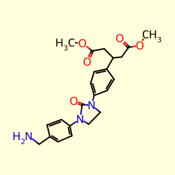 COC(=O)CC(CC(=O)OC)c1ccc(N2CCN(c3ccc(CN)cc3)C2=O)cc1